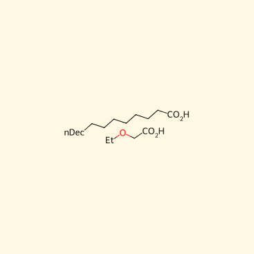 CCCCCCCCCCCCCCCCCC(=O)O.CCOCC(=O)O